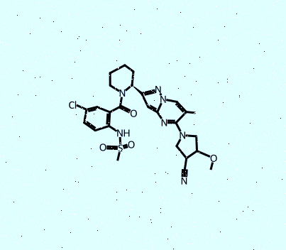 COC1CN(c2nc3cc([C@@H]4CCCCN4C(=O)c4cc(Cl)ccc4NS(C)(=O)=O)nn3cc2C)CC1C#N